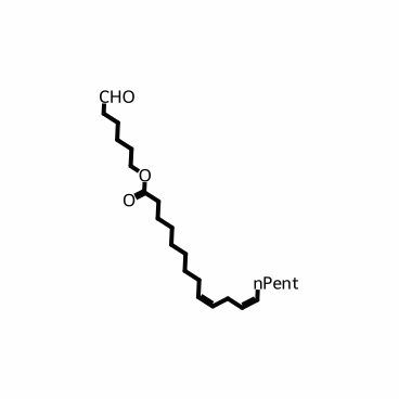 CCCCC/C=C\C/C=C\CCCCCCCC(=O)OCCCCCC=O